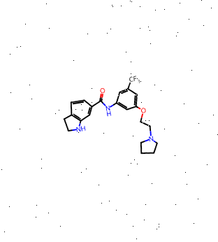 O=C(Nc1cc(OCCN2CCCC2)cc(C(F)(F)F)c1)c1ccc2c(c1)NCC2